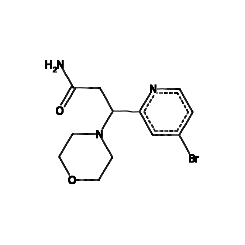 NC(=O)CC(c1cc(Br)ccn1)N1CCOCC1